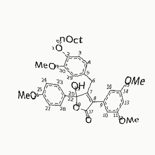 CCCCCCCCOc1ccc(CC2=C(c3cc(OC)cc(OC)c3)C(=O)OC2(O)c2ccc(OC)cc2)cc1OC